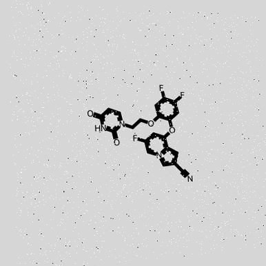 N#Cc1cc2c(Oc3cc(F)c(F)cc3OCCn3ccc(=O)[nH]c3=O)cc(F)cn2c1